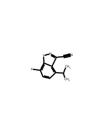 CC(C)c1ccc(F)c2snc(C#N)c12